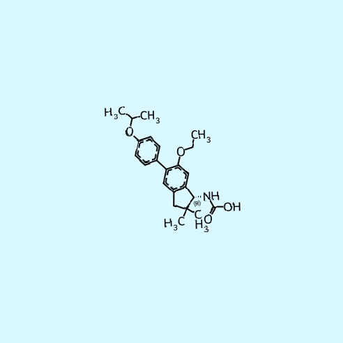 CCOc1cc2c(cc1-c1ccc(OC(C)C)cc1)CC(C)(C)[C@H]2NC(=O)O